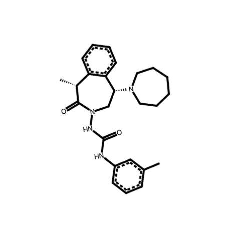 Cc1cccc(NC(=O)NN2C[C@@H](N3CCCCCC3)c3ccccc3[C@@H](C)C2=O)c1